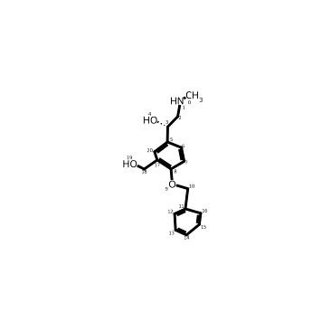 CNC[C@@H](O)c1ccc(OCc2ccccc2)c(CO)c1